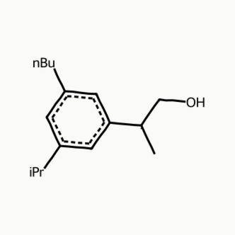 CCCCc1cc([C](C)CO)cc(C(C)C)c1